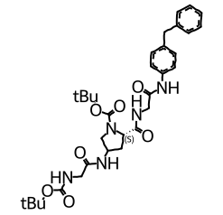 CC(C)(C)OC(=O)NCC(=O)NC1C[C@@H](C(=O)NCC(=O)Nc2ccc(Cc3ccccc3)cc2)N(C(=O)OC(C)(C)C)C1